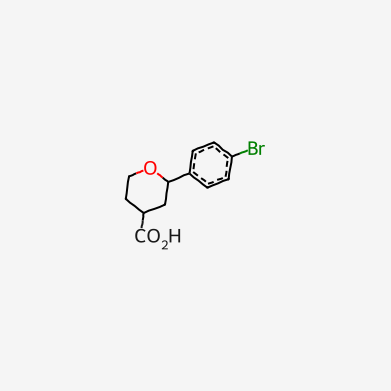 O=C(O)C1CCOC(c2ccc(Br)cc2)C1